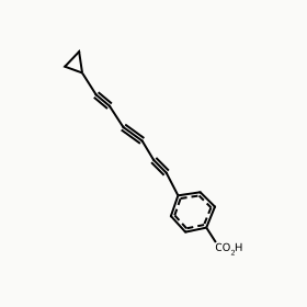 O=C(O)c1ccc(C#CC#CC#CC2CC2)cc1